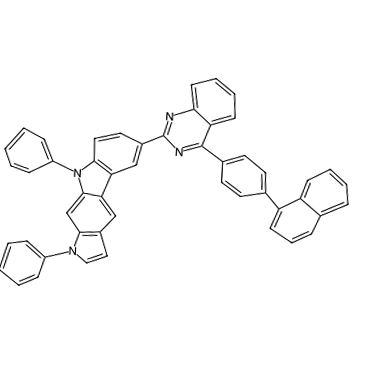 c1ccc(-n2ccc3cc4c5cc(-c6nc(-c7ccc(-c8cccc9ccccc89)cc7)c7ccccc7n6)ccc5n(-c5ccccc5)c4cc32)cc1